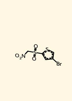 O=[N+]([O-])CS(=O)(=O)c1cc(Br)cs1